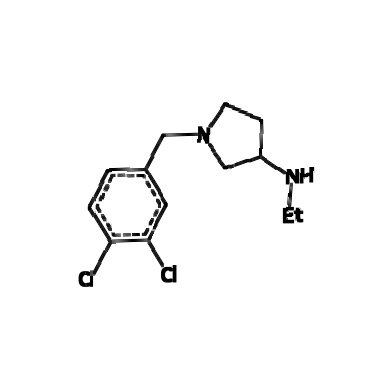 CCNC1CCN(Cc2ccc(Cl)c(Cl)c2)C1